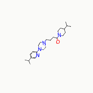 CC(C)c1ccc(N2CCN(CCCC(=O)N3CCC(C(C)C)CC3)CC2)nc1